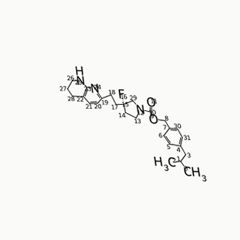 CC(C)Cc1ccc(COC(=O)N2CC[C@@](F)(CCc3ccc4c(n3)NCCC4)C2)cc1